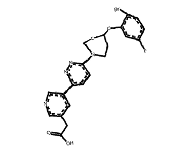 O=C(O)Cc1cncc(-c2ccc(N3CCC(Oc4cc(F)ccc4Br)CC3)nn2)c1